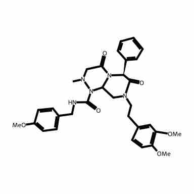 COc1ccc(CNC(=O)N2C3CN(CCc4ccc(OC)c(OC)c4)C(=O)[C@H](c4ccccc4)N3C(=O)CN2C)cc1